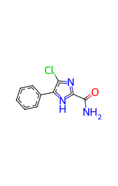 NC(=O)c1nc(Cl)c(-c2ccccc2)[nH]1